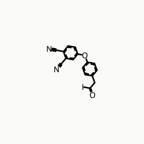 N#Cc1ccc(Oc2ccc(CC(=O)I)cc2)cc1C#N